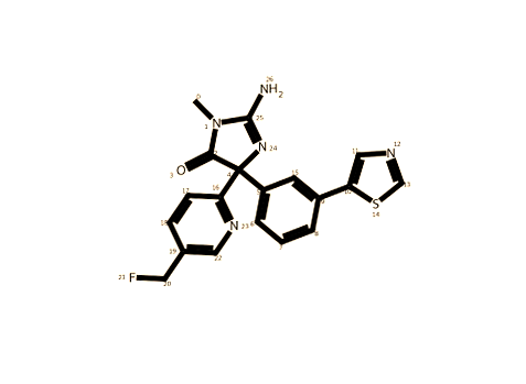 CN1C(=O)C(c2cccc(-c3cncs3)c2)(c2ccc(CF)cn2)N=C1N